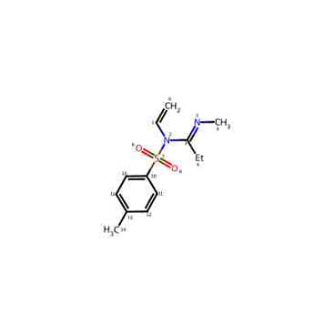 C=CN(/C(CC)=N/C)S(=O)(=O)c1ccc(C)cc1